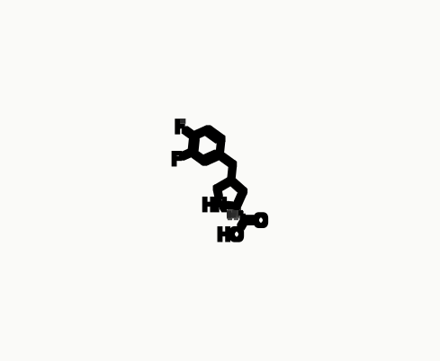 O=C(O)[C@H]1CC(Cc2ccc(F)c(F)c2)CN1